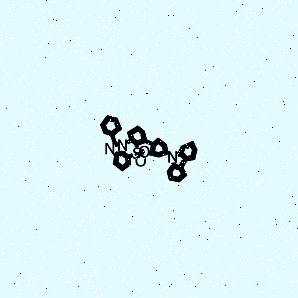 O=S1(=O)c2c(-c3ccc(-n4c5ccccc5c5ccccc54)cc3)cccc2-n2c(-c3ccccc3)nc3cccc1c32